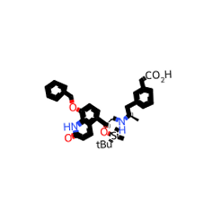 C[C@H](Cc1cccc(CC(=O)O)c1)NC[C@H](O[Si](C)(C)C(C)(C)C)c1ccc(OCc2ccccc2)c2[nH]c(=O)ccc12